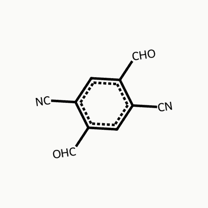 N#Cc1cc(C=O)c(C#N)cc1C=O